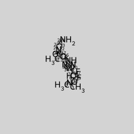 CNC(C)Oc1ccc(-c2cnc3c(Nc4ccc(C(=O)N5CCC(CN)CC5)c(C)c4)nccn23)c(F)c1F